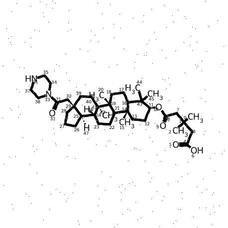 CC(C)(CC(=O)O)CC(=O)O[C@H]1CC[C@@]2(C)C(CC[C@]3(C)C2CC[C@@H]2[C@H]4CCC[C@]4(CC(=O)N4CCNCC4)CC[C@]23C)C1(C)C